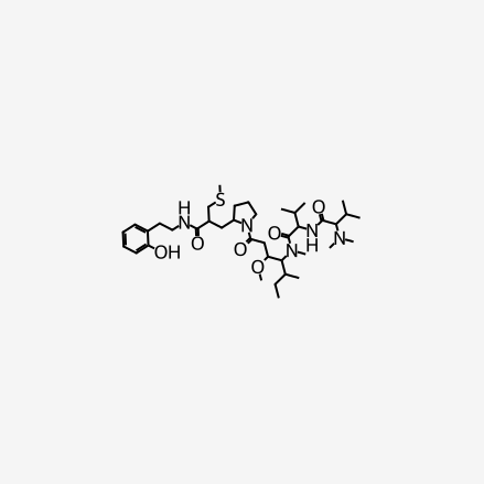 CCC(C)C(C(CC(=O)N1CCCC1CC(CSC)C(=O)NCCc1ccccc1O)OC)N(C)C(=O)C(NC(=O)C(C(C)C)N(C)C)C(C)C